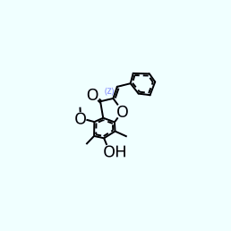 COc1c(C)c(O)c(C)c2c1C(=O)/C(=C/c1ccccc1)O2